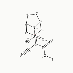 COC(=O)C(C#N)=C1CC2CCC(C1)N2C(=O)O